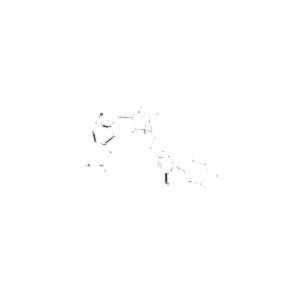 COC(C)Oc1ccc(Br)c(CC2CCN(CCC3CN(C4CCCCC4)C(=O)O3)C2)c1